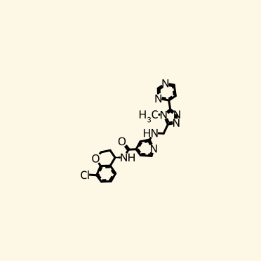 Cn1c(CNc2cc(C(=O)N[C@@H]3CCOc4c(Cl)cccc43)ccn2)nnc1-c1ccncn1